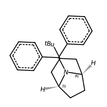 CC(C)(C)C1C[C@H]2CC[C@@H](C1)N2C(c1ccccc1)c1ccccc1